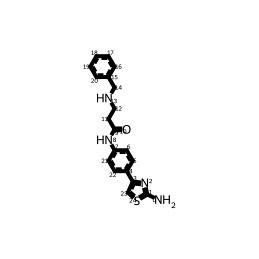 Nc1nc(-c2ccc(NC(=O)CCNCc3ccccc3)cc2)cs1